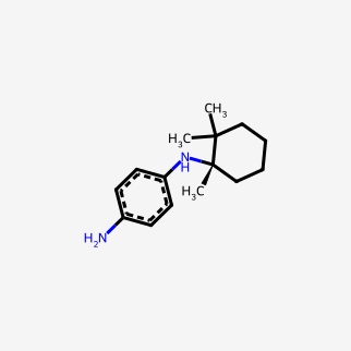 CC1(C)CCCC[C@]1(C)Nc1ccc(N)cc1